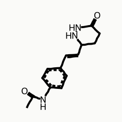 CC(=O)Nc1ccc(/C=C/C2CCC(=O)NN2)cc1